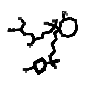 CCOC(OC)OCC(C)CCCC(C)(O)C1(CCCCOS(=O)(=O)c2ccc(C)cc2)OC(C)OSCCCS1